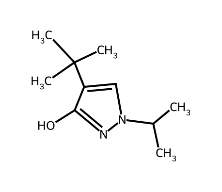 CC(C)n1cc(C(C)(C)C)c(O)n1